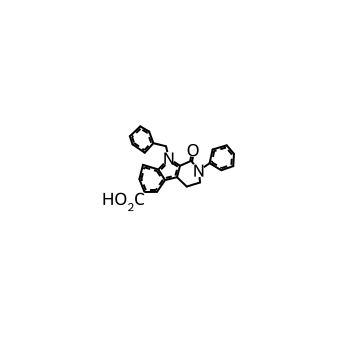 O=C(O)c1ccc2c(c1)c1c(n2Cc2ccccc2)C(=O)N(c2ccccc2)CC1